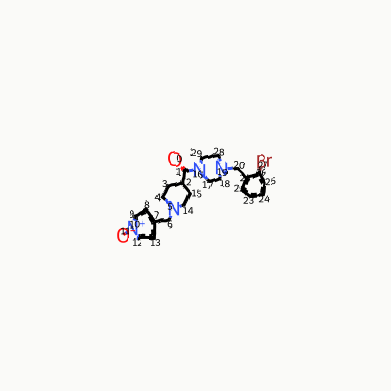 O=C(C1CCN(Cc2cc[n+]([O-])cc2)CC1)N1CCN(Cc2ccccc2Br)CC1